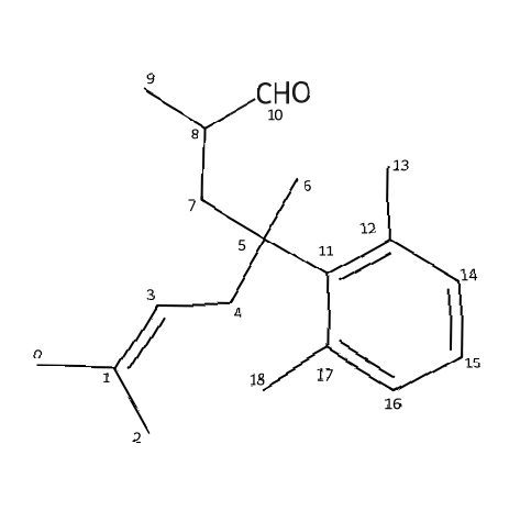 CC(C)=CCC(C)(CC(C)C=O)c1c(C)cccc1C